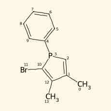 Cc1cp(-c2ccccc2)c(Br)c1C